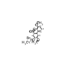 CCC(Br)Oc1cc([N+](=O)[O-])c(-c2cccc(OC)c2)cc1OC